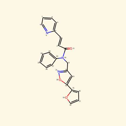 O=C(C=Cc1ccccn1)N(Cc1cc(-c2ccco2)on1)c1ccccc1